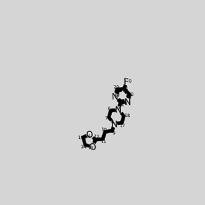 Fc1cnc(N2CCN(CCCC3OCCO3)CC2)nc1